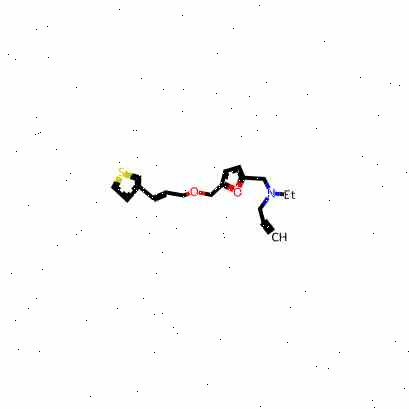 C#CCN(CC)Cc1ccc(COC/C=C/c2ccsc2)o1